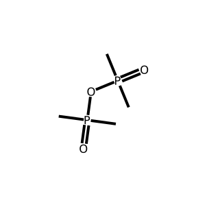 CP(C)(=O)OP(C)(C)=O